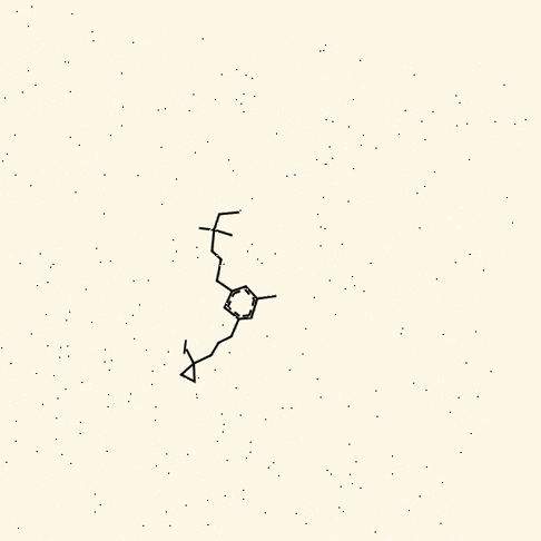 CCC(C)(C)CCCc1cc(C)cc(CCCC2(I)CC2)c1